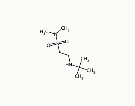 CN(C)S(=O)(=O)CCNC(C)(C)C